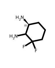 NC1[C@@H](N)CCCC1(F)F